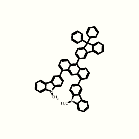 Cn1c2ccccc2c2cc(-c3cccc4c(-c5ccc6c(c5)-c5ccccc5C6(c5ccccc5)c5ccccc5)c5cccc(-c6ccc7c(c6)c6ccccc6n7C)c5cc34)ccc21